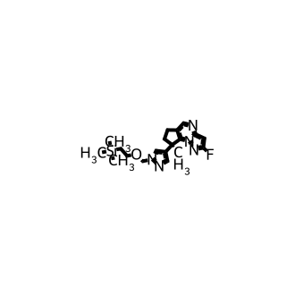 C[C@@]1(c2cnn(COCC[Si](C)(C)C)c2)CCc2cnc3cc(F)nn3c21